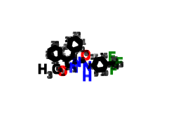 COC1=NN(C(=O)Nc2ccc(C(F)(F)F)cc2)C(c2ccccc2)C1c1ccccc1